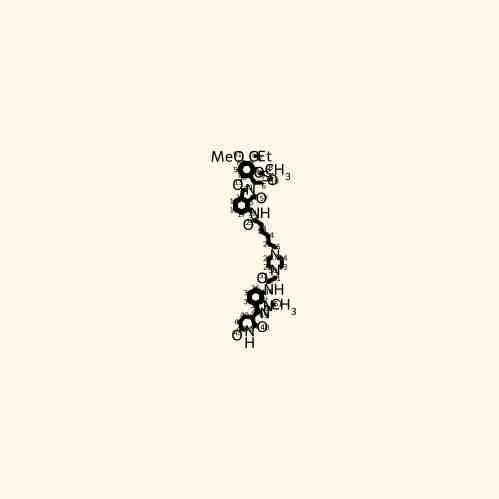 CCOc1cc(C(CS(C)(=O)=O)N2C(=O)c3cccc(NC(=O)CCCCCN4CCN(CC(=O)Nc5cccc6c(C7CCC(=O)NC7=O)nn(C)c56)CC4)c3C2=O)ccc1OC